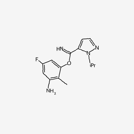 Cc1c(N)cc(F)cc1OC(=N)c1ccnn1C(C)C